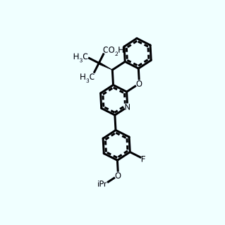 CC(C)Oc1ccc(-c2ccc3c(n2)Oc2ccccc2[C@@H]3C(C)(C)C(=O)O)cc1F